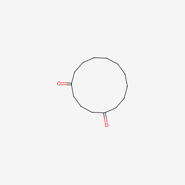 O=C1CCCCCCCCCC(=O)CCC1